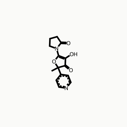 CC1(c2ccncc2)OC(N2CCCC2=O)=C(O)C1=O